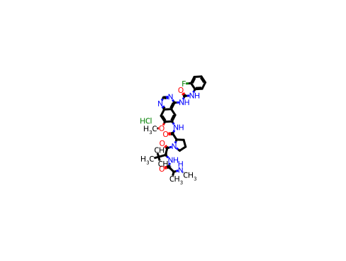 CNC(C)C(=O)NC(C(=O)N1CCCC1C(=O)Nc1cc2c(NC(=O)Nc3ccccc3F)ncnc2cc1OC)C(C)(C)C.Cl